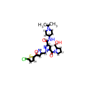 CC(C)N1CCC(NC(=O)c2cc(C(=O)N3CCCC3CO)n(Cc3cc(-c4ccc(Cl)s4)on3)n2)CC1